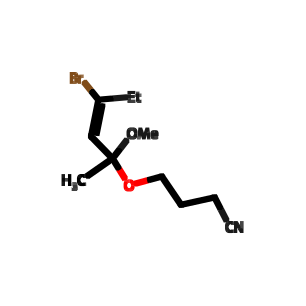 CC/C(Br)=C\C(C)(OC)OCCCC#N